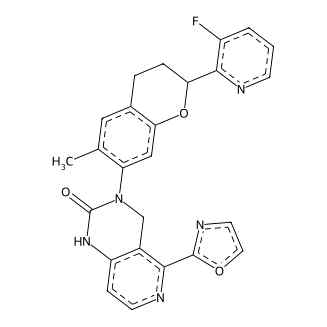 Cc1cc2c(cc1N1Cc3c(ccnc3-c3ncco3)NC1=O)OC(c1ncccc1F)CC2